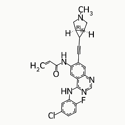 C=CC(=O)Nc1cc2c(Nc3cc(Cl)ccc3F)ncnc2cc1C#CC1[C@H]2CN(C)C[C@@H]12